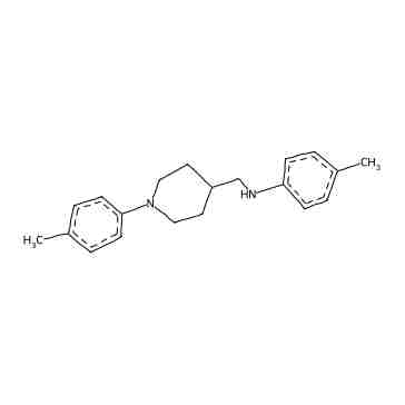 Cc1ccc(NCC2CCN(c3ccc(C)cc3)CC2)cc1